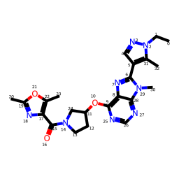 CCn1ncc(-c2nc3c(OC4CCN(C(=O)c5nc(C)oc5C)C4)ncnc3n2C)c1C